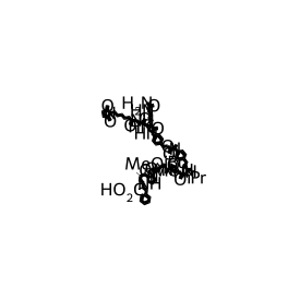 CC[C@H](C)[C@@H]([C@@H](CC(=O)N1CCC[C@H]1[C@H](OC)[C@@H](C)CN[C@@H](Cc1ccccc1)C(=O)O)OC)N(C)C(=O)CNC(=O)C(C(C)C)N(C)CCc1ccc(N(C)C(=O)OCc2ccc(NC(=O)[C@H](CCCNC(N)=O)NC(=O)CNC(=O)CCCCCN3C(=O)C=CC3=O)cc2)cc1